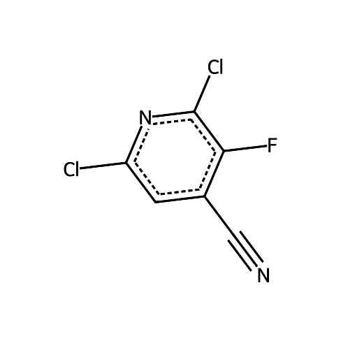 N#Cc1cc(Cl)nc(Cl)c1F